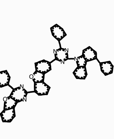 c1ccc(-c2nc(-c3ccc4oc5c(-c6nc(-c7ccccc7)c7oc8ccccc8c7n6)cccc5c4c3)nc(-n3c4ccccc4c4c(-c5ccccc5)cccc43)n2)cc1